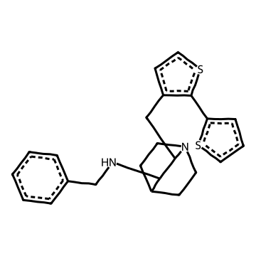 c1ccc(CNC2C3CCN(CC3)C2Cc2ccsc2-c2cccs2)cc1